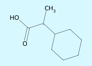 C[C](C(=O)O)C1CCCCC1